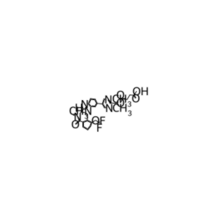 CCN1C(=O)c2cccc(OC(F)F)c2C2C[C@@H]1c1nc3ccc(-c4cnc(C(C)(C)OC(=O)CCC(=O)O)nc4)cc3n12